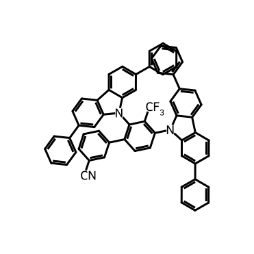 N#Cc1cccc(-c2ccc(-n3c4cc(-c5ccccc5)ccc4c4ccc(-c5ccccc5)cc43)c(C(F)(F)F)c2-n2c3cc(-c4ccccc4)ccc3c3ccc(-c4ccccc4)cc32)c1